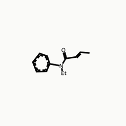 CC=CC(=O)N(CC)c1ccccc1